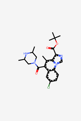 Cc1c(C(=O)N2CC(C)NC(C)C2)c2cc(Cl)ccc2n2cnc(C(=O)OC(C)(C)C)c12